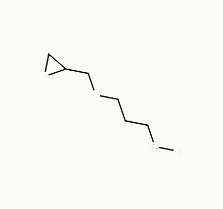 ClNCCCOCC1CO1